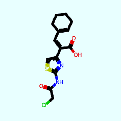 O=C(CCl)Nc1nc(/C(=C/C2=CCCCC2)C(=O)O)cs1